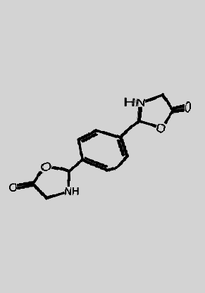 O=C1CNC(c2ccc(C3NCC(=O)O3)cc2)O1